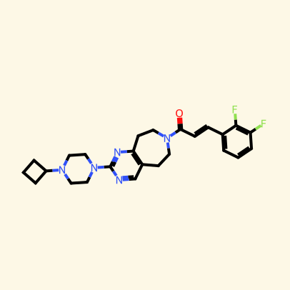 O=C(C=Cc1cccc(F)c1F)N1CCc2cnc(N3CCN(C4CCC4)CC3)nc2CC1